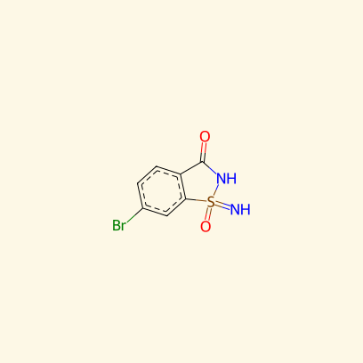 N=S1(=O)NC(=O)c2ccc(Br)cc21